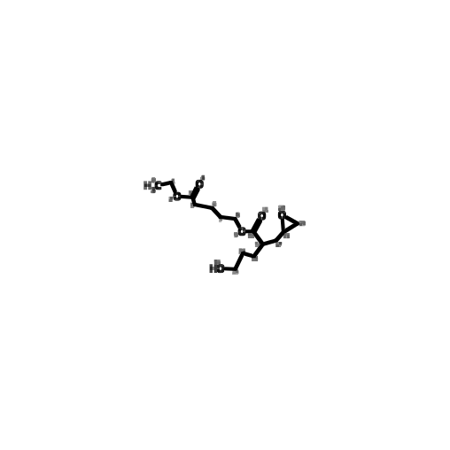 CCOC(=O)CCCCOC(=O)C(CCCO)CC1CO1